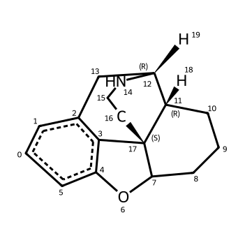 c1cc2c3c(c1)OC1CCC[C@H]4[C@@H](C2)NCC[C@]314